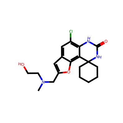 CN(CCO)Cc1cc2cc(Cl)c3c(c2o1)C1(CCCCC1)NC(=O)N3